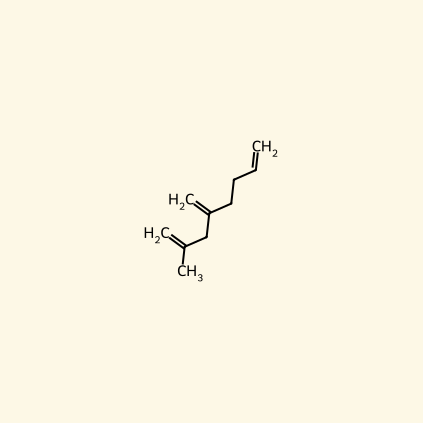 C=CCCC(=C)CC(=C)C